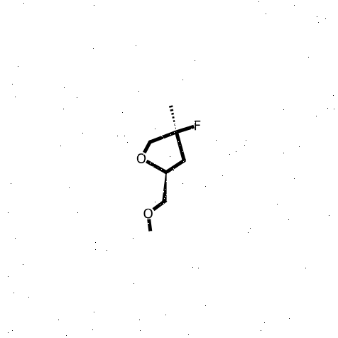 COC[C@@H]1C[C@](C)(F)CO1